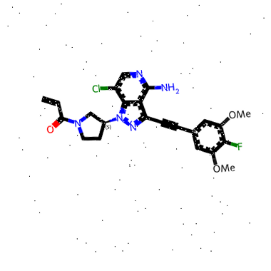 C=CC(=O)N1CC[C@H](n2nc(C#Cc3cc(OC)c(F)c(OC)c3)c3c(N)ncc(Cl)c32)C1